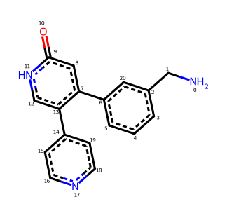 NCc1cccc(-c2cc(=O)[nH]cc2-c2ccncc2)c1